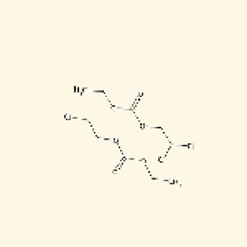 CCOC(=O)OCC(Cl)Cl.CCOC(=O)OCCCl